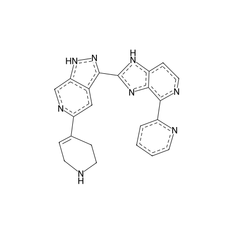 C1=C(c2cc3c(-c4nc5c(-c6ccccn6)nccc5[nH]4)n[nH]c3cn2)CCNC1